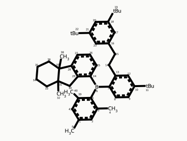 Cc1cc(C)c(B(c2ccc(C(C)(C)C)cc2CCc2cc(C(C)(C)C)cc(C(C)(C)C)c2)c2cccc3c2CC2(C)CCCCC32C)c(C)c1